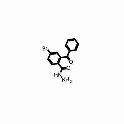 NNC(=O)c1ccc(Br)cc1C(=O)c1ccccc1